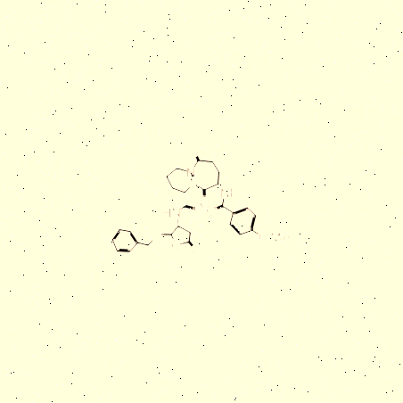 COc1ccc(C(=O)N[C@H]2CCC(=O)N3CCC[C@@H](C(=O)N[C@H]4CC(=O)OC4OCc4ccccc4)N3C2=O)cc1